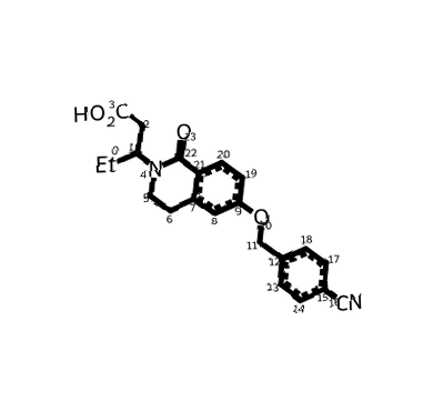 CCC(CC(=O)O)N1CCc2cc(OCc3ccc(C#N)cc3)ccc2C1=O